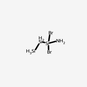 N[Si](Br)(Br)[SiH2][SiH3]